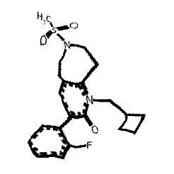 CS(=O)(=O)N1CCc2c(cc(-c3ccccc3F)c(=O)n2CC2CCC2)C1